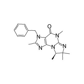 Cc1nc2c(n1Cc1ccccc1)C(=O)N(C)C1=NC(C)(C)[C@@H](C)N12